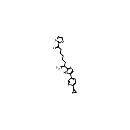 NC(CCCCCC(=O)c1ncco1)c1ncc(-c2cnc(C3CC3)cn2)[nH]1